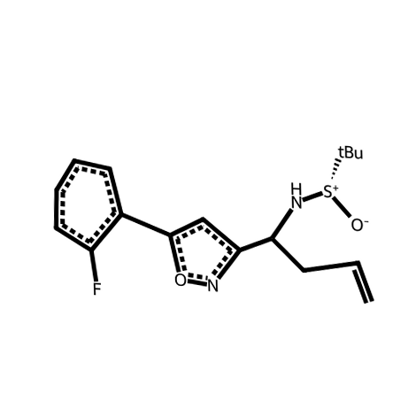 C=CCC(N[S@@+]([O-])C(C)(C)C)c1cc(-c2ccccc2F)on1